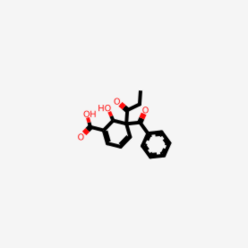 CCC(=O)C1(C(=O)c2ccccc2)C=CC=C(C(=O)O)C1O